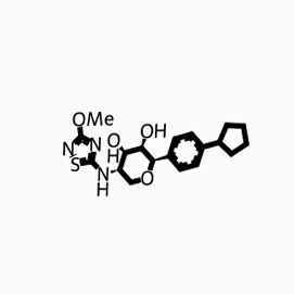 COc1nsc(N[C@H]2CO[C@H](c3ccc(C4CCCC4)cc3)[C@H](O)[C@@H]2O)n1